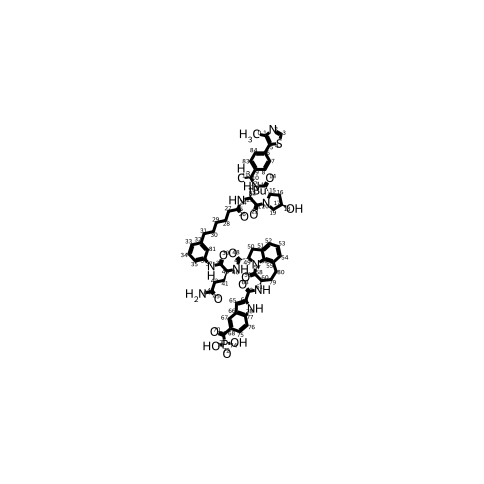 Cc1ncsc1-c1ccc([C@H](C)NC(=O)[C@@H]2C[C@@H](O)CN2C(=O)[C@@H](NC(=O)CCCCCc2cccc(NC(=O)[C@H](CCC(N)=O)NC(=O)[C@@H]3Cc4cccc5c4N3C(=O)[C@@H](NC(=O)c3cc4cc(C(=O)P(=O)(O)O)ccc4[nH]3)CC5)c2)C(C)(C)C)cc1